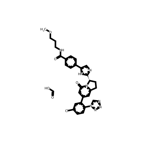 COCCCNC(=O)c1ccc(-c2cnc([C@@H]3CCc4cc(-c5cc(Cl)ccc5-n5cnnn5)cc(=O)n43)[nH]2)cc1.O=CO